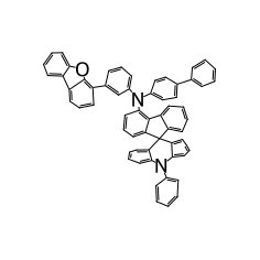 c1ccc(-c2ccc(N(c3cccc(-c4cccc5c4oc4ccccc45)c3)c3cccc4c3-c3ccccc3C43c4ccccc4N(c4ccccc4)c4ccccc43)cc2)cc1